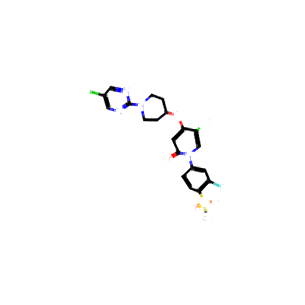 CCS(=O)(=O)c1ccc(-n2cc(Cl)c(OC3CCN(c4ncc(Cl)cn4)CC3)cc2=O)cc1F